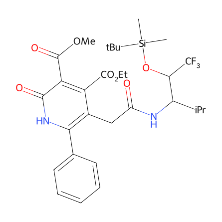 CCOC(=O)c1c(CC(=O)NC(C(C)C)C(O[Si](C)(C)C(C)(C)C)C(F)(F)F)c(-c2ccccc2)[nH]c(=O)c1C(=O)OC